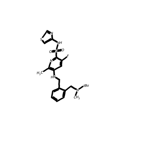 Cc1nc(S(=O)(=O)Nc2cscn2)c(F)cc1NCc1ccccc1CN(C)C(C)(C)C